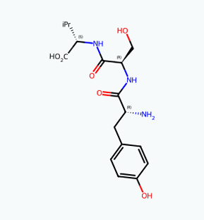 CC(C)[C@H](NC(=O)[C@@H](CO)NC(=O)[C@H](N)Cc1ccc(O)cc1)C(=O)O